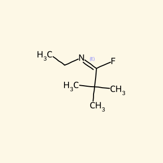 CC/N=C(/F)C(C)(C)C